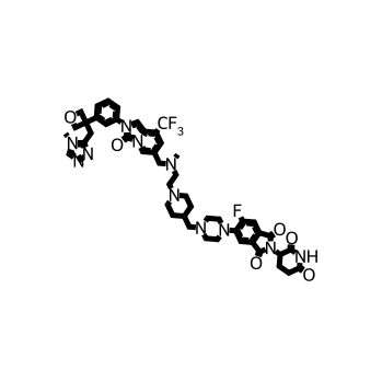 CN(CCN1CCC(CN2CCN(c3cc4c(cc3F)C(=O)N(C3CCC(=O)NC3=O)C4=O)CC2)CC1)Cc1cc(C(F)(F)F)c2cn(-c3cccc(C4(Cc5nncn5C)COC4)c3)c(=O)n2c1